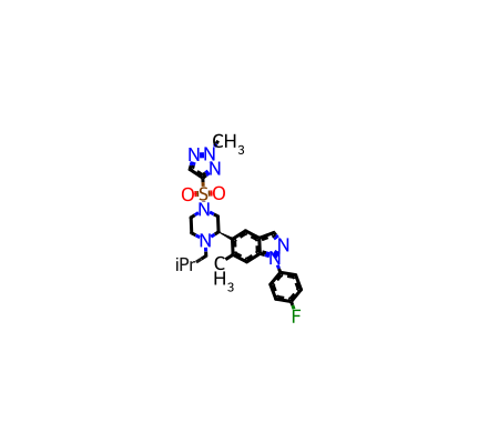 Cc1cc2c(cnn2-c2ccc(F)cc2)cc1[C@@H]1CN(S(=O)(=O)c2cnn(C)n2)CCN1CC(C)C